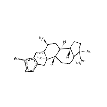 CCn1ncc2c1C=C1[C@@H](C)C[C@@H]3[C@H](CC[C@@]4(C)[C@H]3CC[C@]4(O)C(C)=O)[C@@]1(C)C2